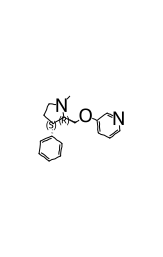 CN1CC[C@@H](c2ccccc2)[C@@H]1COc1cccnc1